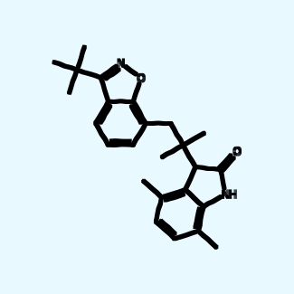 Cc1ccc(C)c2c1NC(=O)C2C(C)(C)Cc1cccc2c(C(C)(C)C)noc12